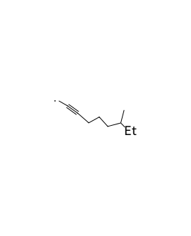 [CH2]C#CCCCC(C)CC